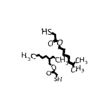 CC(C)CCCCCOC(=O)CS.CCCCC(CC)COC(=O)CS